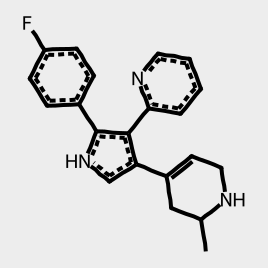 CC1CC(c2c[nH]c(-c3ccc(F)cc3)c2-c2ccccn2)=CCN1